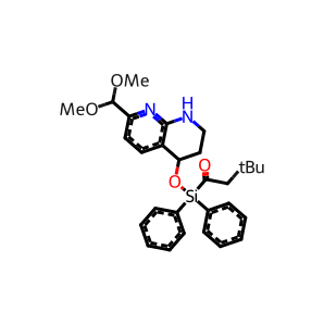 COC(OC)c1ccc2c(n1)NCCC2O[Si](C(=O)CC(C)(C)C)(c1ccccc1)c1ccccc1